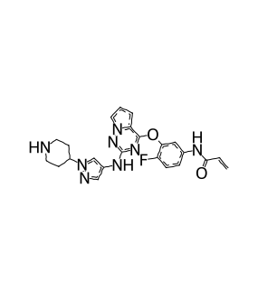 C=CC(=O)Nc1ccc(F)c(Oc2nc(Nc3cnn(C4CCNCC4)c3)nn3cccc23)c1